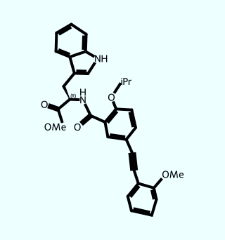 COC(=O)[C@@H](Cc1c[nH]c2ccccc12)NC(=O)c1cc(C#Cc2ccccc2OC)ccc1OC(C)C